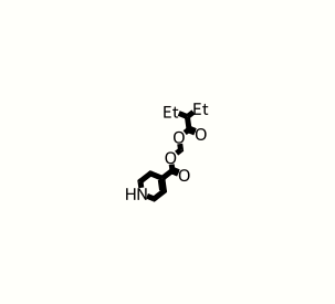 CCC(CC)C(=O)OCOC(=O)C1=CCNCC1